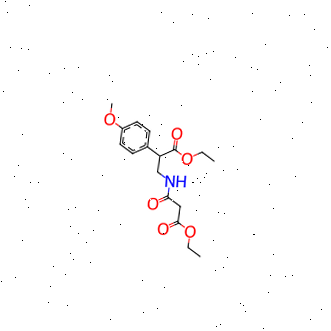 CCOC(=O)CC(=O)NCC(C(=O)OCC)c1ccc(OC)cc1